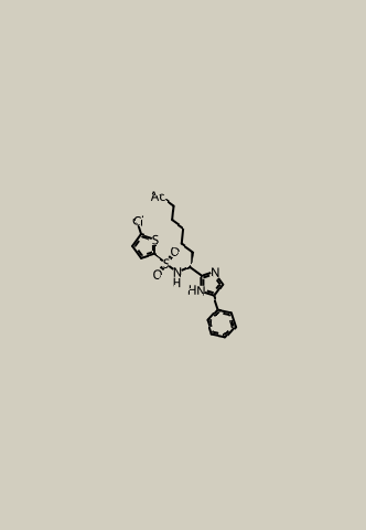 CC(=O)CCCCC[C@H](NS(=O)(=O)c1ccc(Cl)s1)c1ncc(-c2ccccc2)[nH]1